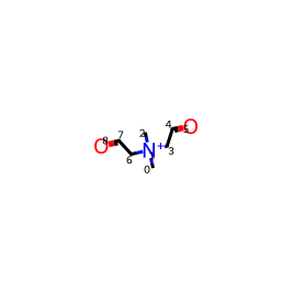 C[N+](C)(CC=O)CC=O